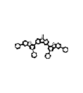 c1cc2[nH]c3ccc(-c4cc(C5CCCCC5)cc5c4sc4ccc(C6CCCCC6)cc45)cc3c2cc1-c1cc(C2CCCCC2)cc2c1sc1ccc(C3CCCCC3)cc12